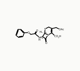 CC(=O)OCC1=C(C(=O)O)N2C(=O)[C@@H](NC(=O)COc3ccccc3)[C@H]2SC1